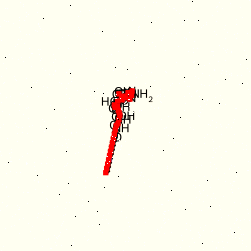 CCCCCC/C=C/CCCCCCCCCC(=O)SCCNC(=O)CCNC(=O)[C@H](O)C(C)(C)COP(=O)(O)OP(=O)(O)OC[C@H]1O[C@@H](n2cnc3c(N)ncnc32)[C@H](O)[C@@H]1OP(=O)(O)O